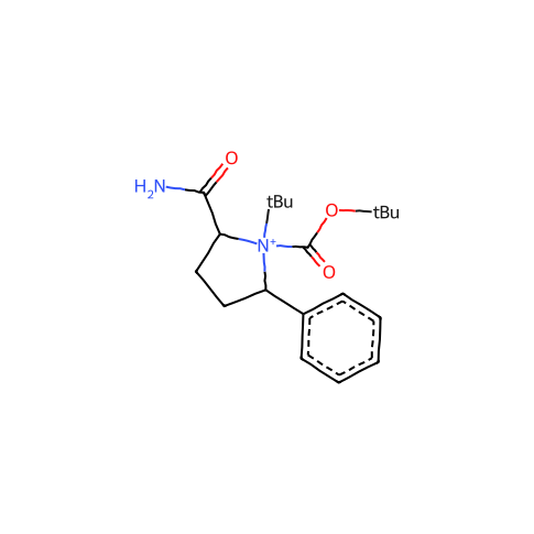 CC(C)(C)OC(=O)[N+]1(C(C)(C)C)C(C(N)=O)CCC1c1ccccc1